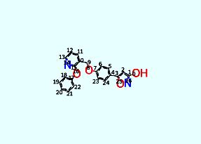 Oc1cc(-c2ccc(OCc3cccnc3Oc3ccccc3)cc2)on1